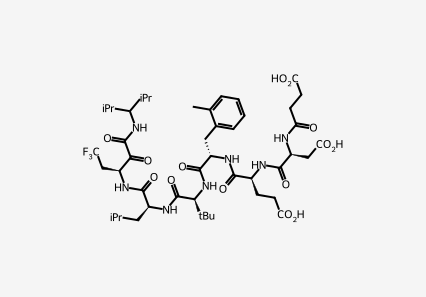 Cc1ccccc1C[C@H](NC(=O)[C@H](CCC(=O)O)NC(=O)[C@H](CC(=O)O)NC(=O)CCC(=O)O)C(=O)N[C@H](C(=O)N[C@@H](CC(C)C)C(=O)N[C@@H](CC(F)(F)F)C(=O)C(=O)NC(C(C)C)C(C)C)C(C)(C)C